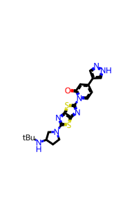 CC(C)(C)NC1CCN(c2nc3sc(-n4ccc(-c5cn[nH]c5)cc4=O)nc3s2)C1